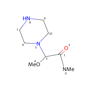 CNC(=O)C(OC)N1CCNCC1